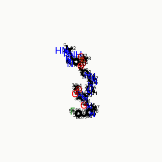 Cc1[nH]nc(Nc2ncnc3cc(OCC4CCN(c5cc(N6CCN(C[C@H]7CN(C(=O)OC(C)(C)C)[C@H](C)CN7CC(=O)N7CC(C)(C)c8ncc(Cc9ccc(F)cc9)cc87)C(C)C6)ncn5)CC4)c(S(=O)(=O)C(C)(C)C)cc23)c1C